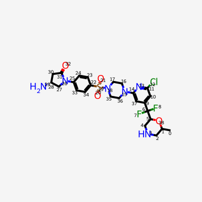 CC1CNCC(C(F)(F)c2cc(Cl)nc(N3CCN(S(=O)(=O)c4ccc(N5C[C@H](N)CC5=O)cc4)CC3)c2)O1